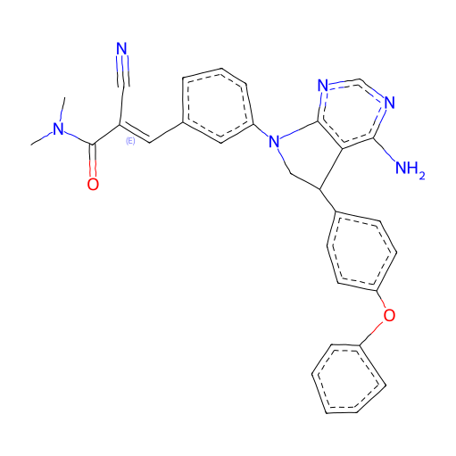 CN(C)C(=O)/C(C#N)=C/c1cccc(N2CC(c3ccc(Oc4ccccc4)cc3)c3c(N)ncnc32)c1